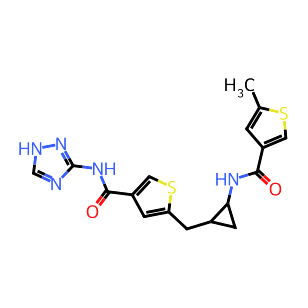 Cc1cc(C(=O)NC2CC2Cc2cc(C(=O)Nc3nc[nH]n3)cs2)cs1